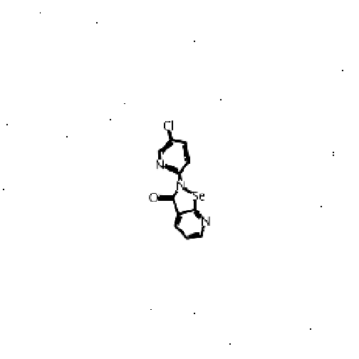 O=c1c2cccnc2[se]n1-c1ccc(Cl)cn1